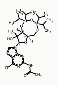 CC(=O)Nc1nc(Cl)c2ncn([C@@H]3O[C@@H]4CO[Si](C(C)C)(C(C)C)O[Si](C(C)C)(C(C)C)O[C@H]4C3(C)O)c2n1